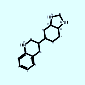 c1ccc2c(c1)CC(C1CCC3NCNC3C1)CN2